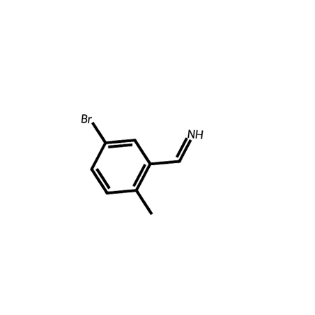 Cc1ccc(Br)cc1C=N